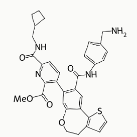 COC(=O)c1nc(C(=O)NCC2CCC2)ccc1-c1cc2c(cc1C(=O)Nc1ccc(CN)cc1)-c1sccc1CCO2